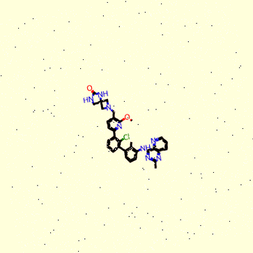 COc1nc(-c2cccc(-c3cccc(Nc4nc(C)nc5cccnc45)c3C)c2Cl)ccc1CN1CC2(CNC(=O)N2)C1